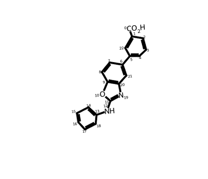 O=C(O)c1cccc(-c2ccc3oc(Nc4ccccc4)nc3c2)c1